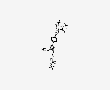 CC(C)(C)OC(=O)NCCCn1nc(-c2ccc(OC[C@@H](O[Si](C)(C)C(C)(C)C)C(=O)OC(C)(C)C)cc2)cc1CO